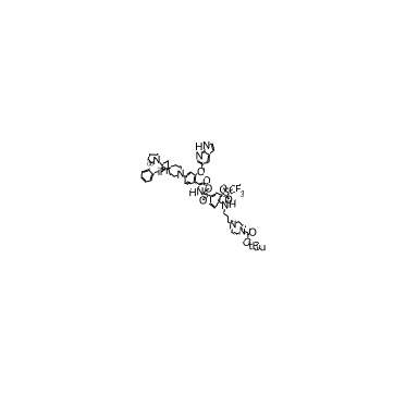 CC(C)c1ccccc1[C@@H]1CCCN1C1CC2(CCN(c3ccc(C(=O)NS(=O)(=O)c4ccc(NCCCN5CCN(C(=O)OC(C)(C)C)CC5)c(S(=O)(=O)C(F)(F)F)c4)c(Oc4cnc5[nH]ccc5c4)c3)CC2)C1